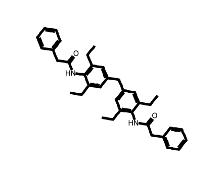 CCc1cc(Cc2cc(CC)c(NC(=O)Cc3ccccc3)c(CC)c2)cc(CC)c1NC(=O)Cc1ccccc1